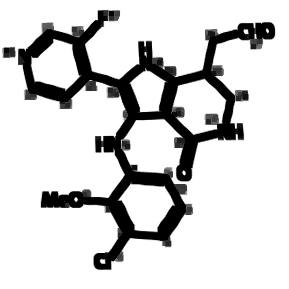 COc1c(Cl)cccc1Nc1c(-c2ccncc2F)[nH]c2c1C(=O)NCC2CC=O